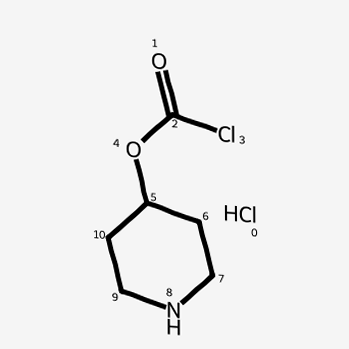 Cl.O=C(Cl)OC1CCNCC1